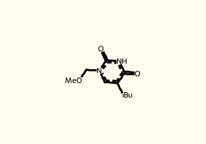 CCC(C)c1cn(COC)c(=O)[nH]c1=O